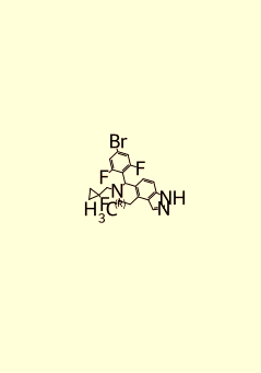 C[C@@H]1Cc2c(ccc3[nH]ncc23)C(c2c(F)cc(Br)cc2F)N1CC1(F)CC1